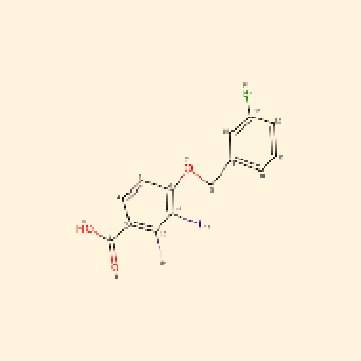 O=C(O)c1ccc(OCc2cccc(Br)c2)c(I)c1I